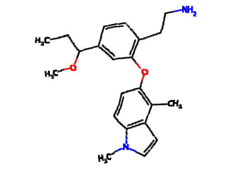 CCC(OC)c1ccc(CCN)c(Oc2ccc3c(ccn3C)c2C)c1